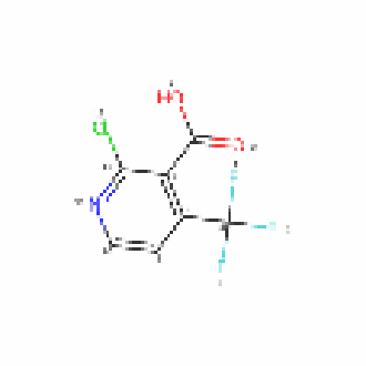 O=C(O)c1c(C(F)(F)F)ccnc1Cl